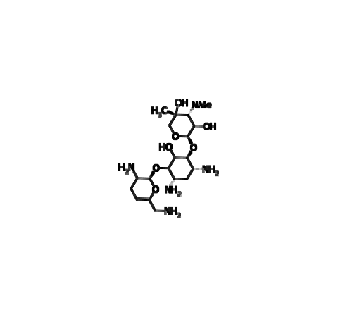 CN[C@@H]1C(O)[C@@H](O[C@@H]2C(O)C(O[C@H]3OC(CN)=CCC3N)[C@@H](N)C[C@H]2N)OC[C@]1(C)O